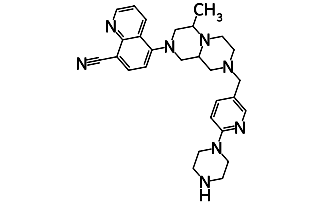 CC1CN(c2ccc(C#N)c3ncccc23)CC2CN(Cc3ccc(N4CCNCC4)nc3)CCN12